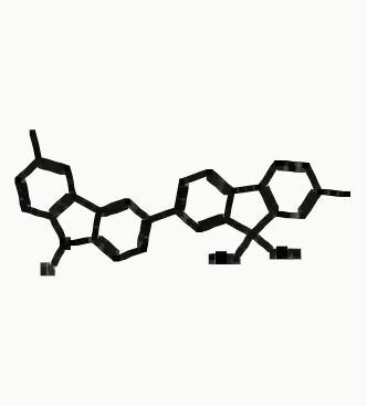 CCCCCCC1(CCCCCC)c2cc(C)ccc2-c2ccc(-c3ccc4c(c3)c3cc(C)ccc3n4CC)cc21